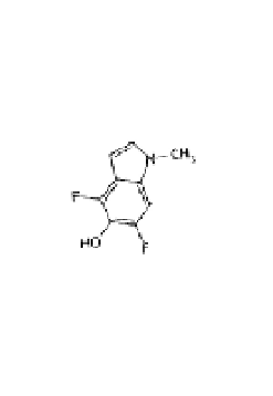 Cn1ccc2c(F)c(O)c(F)cc21